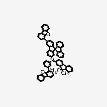 CC1(C)c2ccccc2-c2ccc(N(c3cccc(-c4cccc5c4oc4ccccc45)c3)c3ccc4c(c3)C3(c5ccccc5-c5ccccc53)c3ccc(-c5cccc6c5oc5ccccc56)cc3-4)cc21